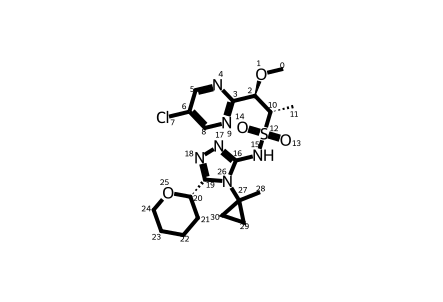 CO[C@H](c1ncc(Cl)cn1)[C@H](C)S(=O)(=O)Nc1nnc([C@@H]2CCCCO2)n1C1(C)CC1